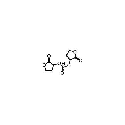 O=C1OCCC1O[PH](=O)OC1CCOC1=O